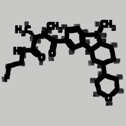 C[C@@H](C(=O)NCCF)N(C)C(=O)c1ccc2c(c1)C1CC(C3CCOCC3)CCC1N2C